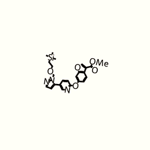 COC(=O)c1coc2cc(Oc3ccc(-c4ccnn4COCC[Si](C)(C)C)cn3)ccc12